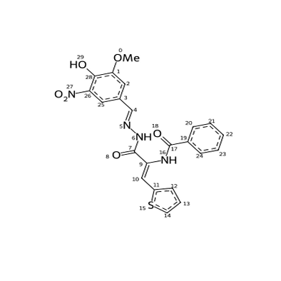 COc1cc(/C=N/NC(=O)/C(=C/c2cccs2)NC(=O)c2ccccc2)cc([N+](=O)[O-])c1O